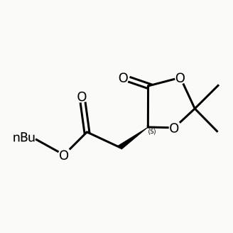 CCCCOC(=O)C[C@@H]1OC(C)(C)OC1=O